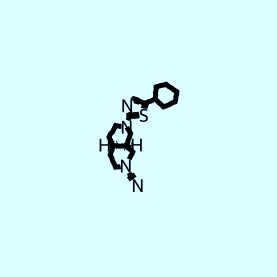 N#CN1CC[C@H]2CCN(c3ncc(C4CCCCC4)s3)C[C@H]2C1